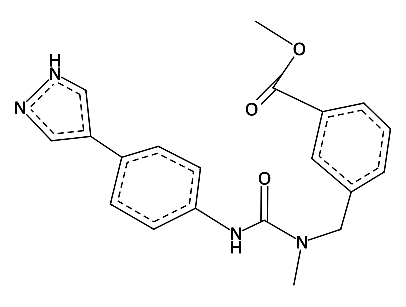 COC(=O)c1cccc(CN(C)C(=O)Nc2ccc(-c3cn[nH]c3)cc2)c1